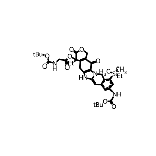 CCC1(OC(=O)CNC(=O)OC(C)(C)C)C(=O)OCC2=C1CC1=C(C2=O)N2Cc3c(cc(NC(=O)OC(C)(C)C)cc3[Si](C)(C)CC)C=C2N1